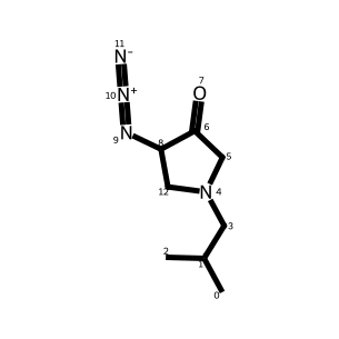 C[C](C)CN1CC(=O)C(N=[N+]=[N-])C1